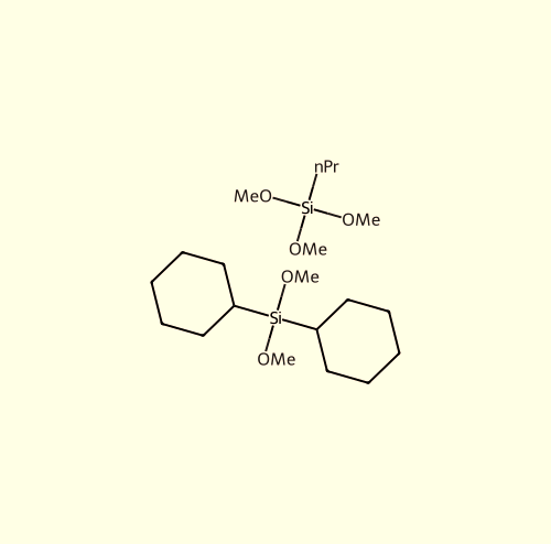 CCC[Si](OC)(OC)OC.CO[Si](OC)(C1CCCCC1)C1CCCCC1